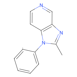 Cc1nc2cnccc2n1-c1[c]cccc1